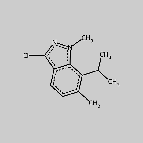 Cc1ccc2c(Cl)nn(C)c2c1C(C)C